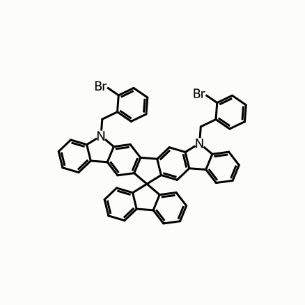 Brc1ccccc1Cn1c2ccccc2c2cc3c(cc21)-c1cc2c(cc1C31c3ccccc3-c3ccccc31)c1ccccc1n2Cc1ccccc1Br